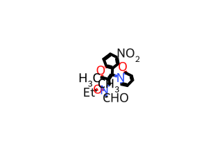 CCON(C=O)CC1=C(n2ccccc2=O)c2cc([N+](=O)[O-])ccc2OC1(C)C